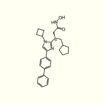 O=C(C[C@@H](CC1CCCC1)c1nc(-c2ccc(-c3ccccc3)cc2)cn1C1CCC1)NO